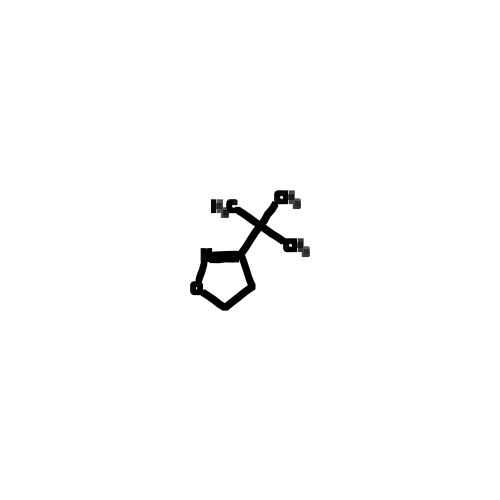 CC(C)(C)C1=NOCC1